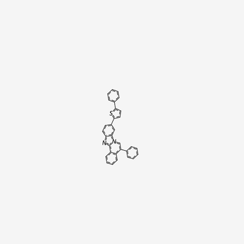 c1ccc(-c2ccc(-c3ccc4nc5c6ccccc6c(-c6ccccc6)cn5c4c3)s2)cc1